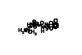 Cc1nc(NC(=O)COS(=O)(=O)NCCN(C)C)sc1Oc1cccc(Cl)c1